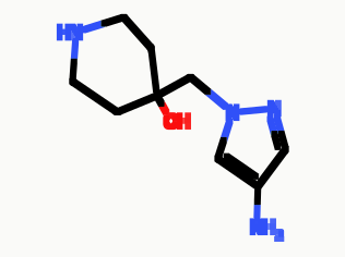 Nc1cnn(CC2(O)CCNCC2)c1